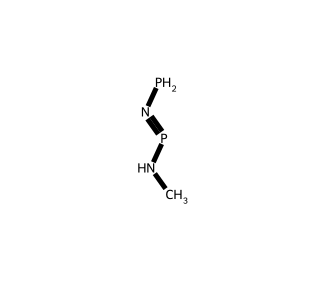 CNP=NP